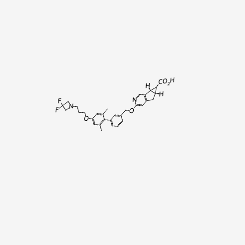 Cc1cc(OCCCN2CC(F)(F)C2)cc(C)c1-c1cccc(COc2cc3c(cn2)[C@H]2[C@@H](C3)[C@@H]2C(=O)O)c1